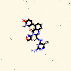 C[C@H](Nc1nc(N)ncc1C#N)c1nc2cccc(-c3ccc(=O)n(C)c3)c2c(=O)n1-c1ccon1